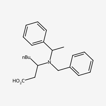 CCCCC(CC(=O)O)N(Cc1ccccc1)C(C)c1ccccc1